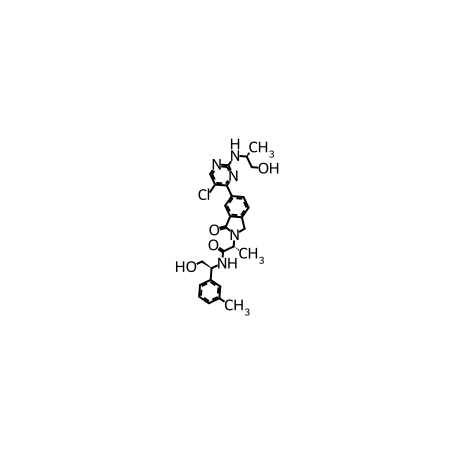 Cc1cccc([C@@H](CO)NC(=O)[C@@H](C)N2Cc3ccc(-c4nc(N[C@@H](C)CO)ncc4Cl)cc3C2=O)c1